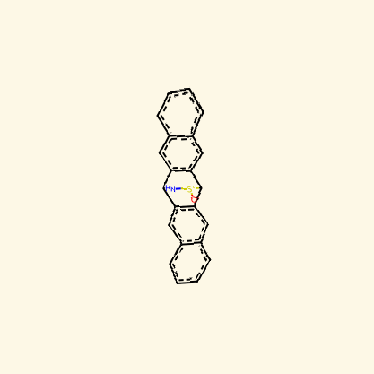 [O-][S+]1NC2c3cc4ccccc4cc3C1c1cc3ccccc3cc12